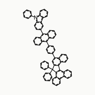 c1ccc(-n2c3ccccc3c3cc(-c4c5ccccc5c(-c5ccc(-c6cc7c(c8ccccc68)-c6c(c8ccccc8c8ccccc68)C7(c6ccccc6)c6ccccc6)cc5)c5ccccc45)ccc32)cc1